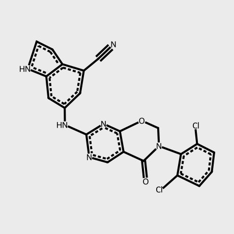 N#Cc1cc(Nc2ncc3c(n2)OCN(c2c(Cl)cccc2Cl)C3=O)cc2[nH]ccc12